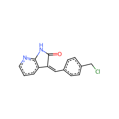 O=C1Nc2ncccc2C1=Cc1ccc(CCl)cc1